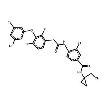 N#Cc1cc(Cl)cc(Oc2c(Br)ccc(CC(=O)Nc3ccc(C(=O)NC4(CO)CC4)cc3Cl)c2F)c1